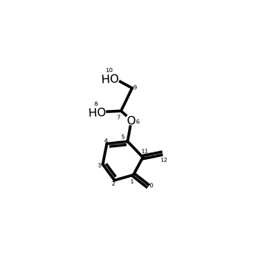 C=c1cccc(OC(O)CO)c1=C